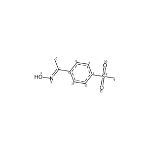 CC(=NO)c1ccc(S(C)(=O)=O)cc1